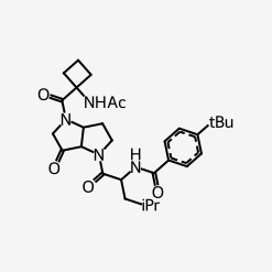 CC(=O)NC1(C(=O)N2CC(=O)C3C2CCN3C(=O)C(CC(C)C)NC(=O)c2ccc(C(C)(C)C)cc2)CCC1